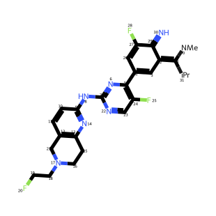 CN/C(=C1/C=C(c2nc(Nc3ccc4c(n3)CCN(CCF)C4)ncc2F)C=C(F)C1=N)C(C)C